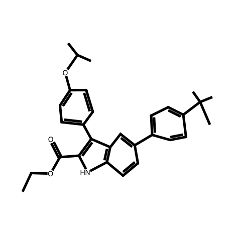 CCOC(=O)c1[nH]c2ccc(-c3ccc(C(C)(C)C)cc3)cc2c1-c1ccc(OC(C)C)cc1